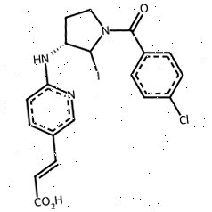 O=C(O)C=Cc1ccc(N[C@@H]2CCN(C(=O)c3ccc(Cl)cc3)C2I)nc1